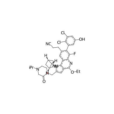 CCOc1nc2c(F)c(-c3cc(O)cc(Cl)c3Cl)c(CCC#N)cc2c2c1cc(CN1CCN(C(C)C)CC1=O)n2[C@H]1[C@H]2CN[C@@H]1C2